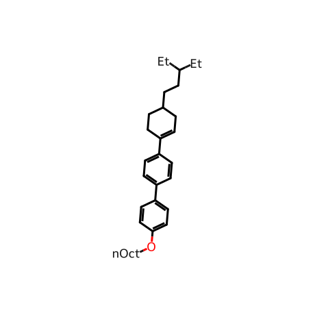 CCCCCCCCOc1ccc(-c2ccc(C3=CCC(CCC(CC)CC)CC3)cc2)cc1